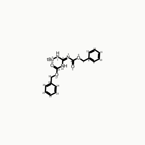 CC(C)(C)N/C(=N/C(=O)OCc1ccccc1)NC(=O)OCc1ccccc1